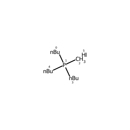 CCCC[P](C)(CCCC)CCCC.I